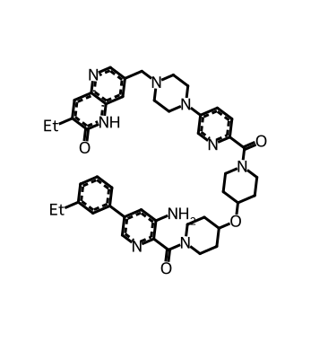 CCc1cccc(-c2cnc(C(=O)N3CCC(OC4CCN(C(=O)c5ccc(N6CCN(Cc7cnc8cc(CC)c(=O)[nH]c8c7)CC6)cn5)CC4)CC3)c(N)c2)c1